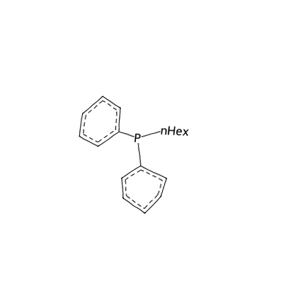 CCCCCCP(c1ccccc1)c1ccccc1